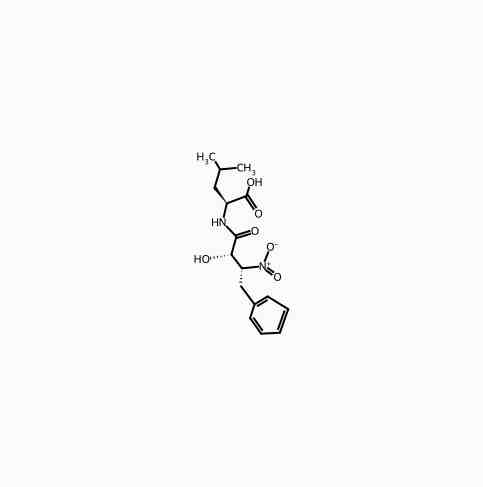 CC(C)C[C@H](NC(=O)[C@@H](O)[C@@H](Cc1ccccc1)[N+](=O)[O-])C(=O)O